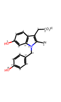 CC(C)c1c(CC(=O)O)c2ccc(O)cc2n1Cc1ccc(O)cc1